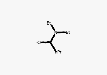 CCCC([O])N(CC)CC